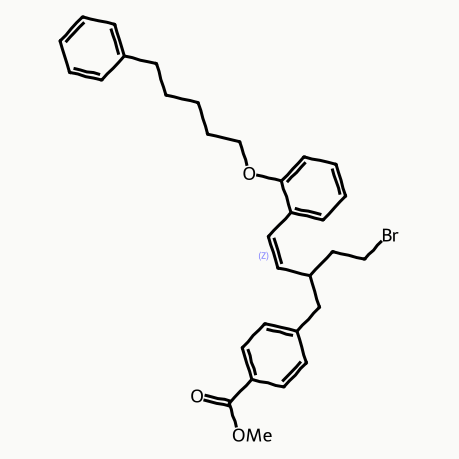 COC(=O)c1ccc(CC(/C=C\c2ccccc2OCCCCCc2ccccc2)CCBr)cc1